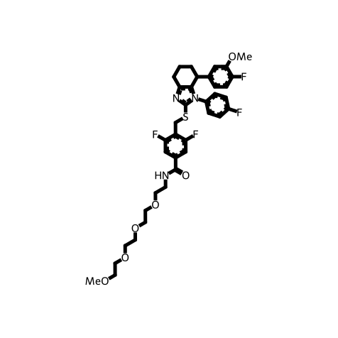 COCCOCCOCCOCCNC(=O)c1cc(F)c(CSc2nc3c(n2-c2ccc(F)cc2)C(c2ccc(F)c(OC)c2)CCC3)c(F)c1